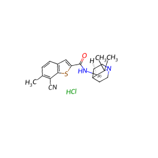 Cc1ccc2cc(C(=O)N[C@@H]3C4CCN(CC4)C3(C)C)sc2c1C#N.Cl